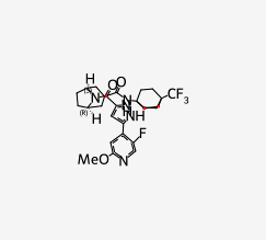 COc1cc(-c2cc(C(=O)N3[C@@H]4CC[C@H]3CC(C(=O)NC35CCC(C(F)(F)F)(CC3)CC5)C4)n[nH]2)c(F)cn1